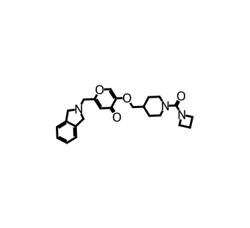 O=C(N1CCC1)N1CCC(COc2coc(CN3Cc4ccccc4C3)cc2=O)CC1